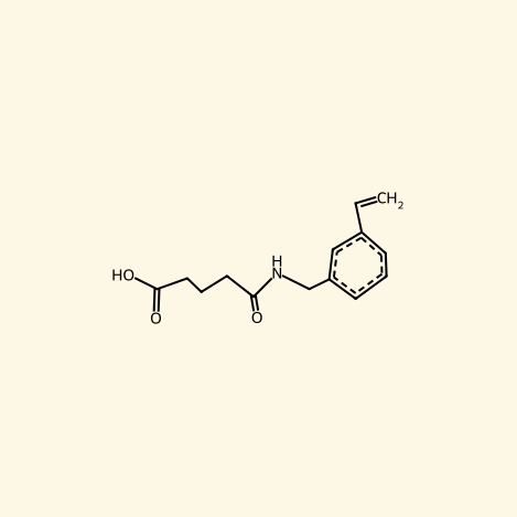 C=Cc1cccc(CNC(=O)CCCC(=O)O)c1